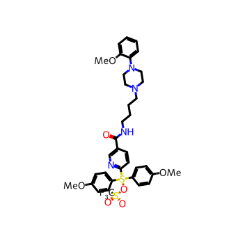 COc1ccc(S(OS(=O)(=O)C(F)(F)F)(c2ccc(OC)cc2)c2ccc(C(=O)NCCCCN3CCN(c4ccccc4OC)CC3)cn2)cc1